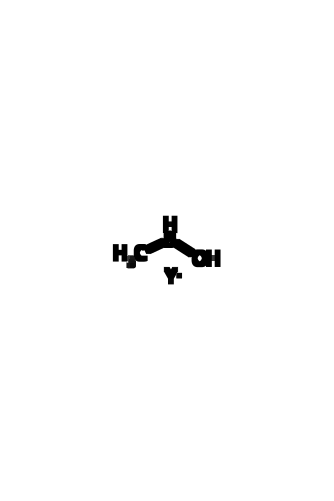 CBO.[Y]